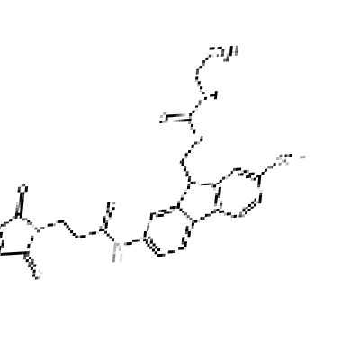 O=C(O)CNC(=O)OCC1c2cc(NC(=O)CCN3C(=O)C=CC3=O)ccc2-c2ccc(S(=O)(=O)O)cc21